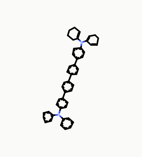 C1=CC(N(C2=CCCCC2)c2ccc(-c3ccc(-c4ccc(-c5ccc(N(c6ccccc6)c6ccccc6)cc5)cc4)cc3)cc2)=CCC1